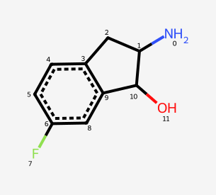 NC1Cc2ccc(F)cc2C1O